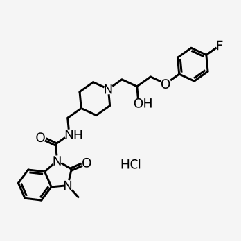 Cl.Cn1c(=O)n(C(=O)NCC2CCN(CC(O)COc3ccc(F)cc3)CC2)c2ccccc21